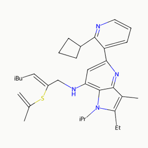 C=C(C)S/C(=C\C(C)CC)CNc1cc(-c2cccnc2C2CCC2)nc2c(C)c(CC)n(C(C)C)c12